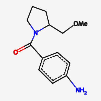 COCC1CCCN1C(=O)c1ccc(N)cc1